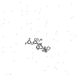 O=C(O)c1cc(Nc2ccnc3cc(S(=O)(=O)N(Br)C4CCCCC4)cc(F)c23)cc(Oc2cc(F)cc(F)c2)c1